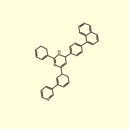 C1=CCCC(C2=NC(C3C=C(c4cccnc4)C=CC3)=CC(c3ccc(-c4cccc5ccccc45)cc3)N2)=C1